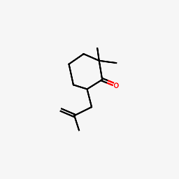 C=C(C)CC1CCCC(C)(C)C1=O